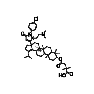 CC(C)C1=C2C3CCC4C5(C)CCC(OC(=O)CC(C)(C)C(=O)O)C(C)(C)C5CCC4(C)[C@]3(C)CCC2(c2cc(=O)n(-c3ccc(Cl)cc3)n2CCN(C)C)CC1